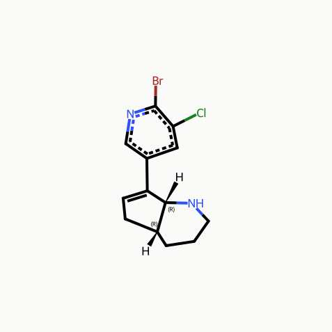 Clc1cc(C2=CC[C@H]3CCCN[C@@H]23)cnc1Br